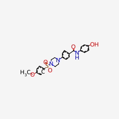 COc1ccc(S(=O)(=O)N2CCN(c3ccc(C(=O)Nc4ccc(O)cc4)cc3)CC2)cc1